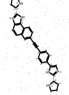 C(#Cc1ccc2c(ccc3nc([C@@H]4CCCN4)[nH]c32)c1)c1ccc(-c2cnc([C@@H]3CCCN3)[nH]2)cc1